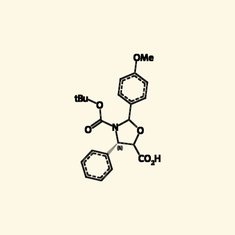 COc1ccc(C2OC(C(=O)O)[C@H](c3ccccc3)N2C(=O)OC(C)(C)C)cc1